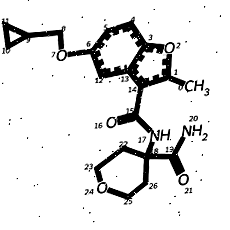 Cc1oc2ccc(OCC3CC3)cc2c1C(=O)NC1(C(N)=O)CCOCC1